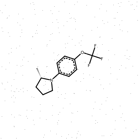 C[C@H]1CCCN1c1c[c]c(OC(F)(F)F)cc1